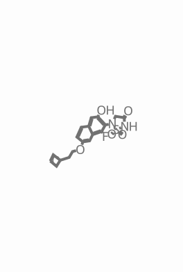 O=C1CN(c2c(O)cc3ccc(OCCC45CC(C4)C5)cc3c2F)S(=O)(=O)N1